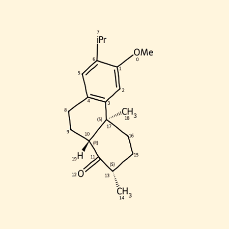 COc1cc2c(cc1C(C)C)CC[C@H]1C(=O)[C@@H](C)CC[C@]21C